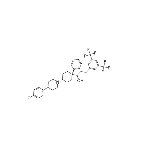 O[C@H](CCc1cc(C(F)(F)F)cc(C(F)(F)F)c1)[C@]1(c2ccccc2)CC[C@H](N2CCC(c3ccc(F)cc3)CC2)CC1